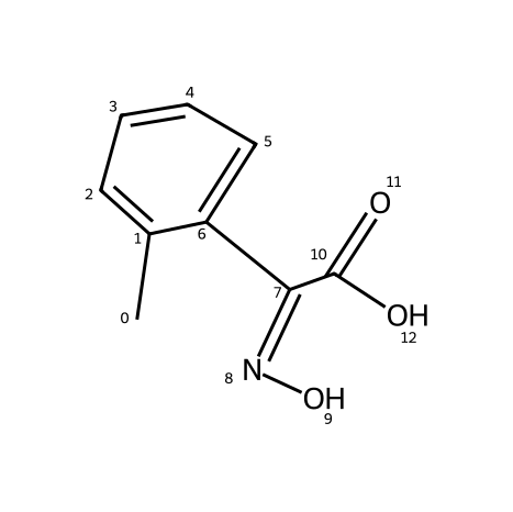 Cc1ccccc1C(=NO)C(=O)O